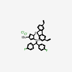 C=Cc1ccc2c(c1)-c1cc(C=C)c[c]([Zr+2]([C]3=CC(C(C)(C)C)=CC3CC)=[C](c3ccc(F)cc3)c3ccc(F)cc3)c1C2.[Cl-].[Cl-]